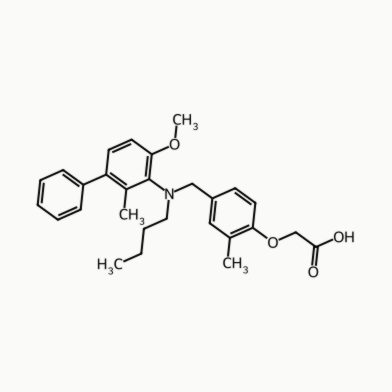 CCCCN(Cc1ccc(OCC(=O)O)c(C)c1)c1c(OC)ccc(-c2ccccc2)c1C